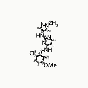 COc1ccc(Cl)c(CNc2ccnc(Nc3cnn(C)c3)n2)c1F